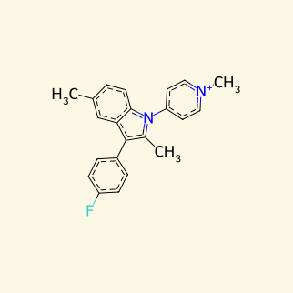 Cc1ccc2c(c1)c(-c1ccc(F)cc1)c(C)n2-c1cc[n+](C)cc1